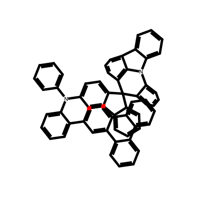 c1ccc(N(c2ccc3c(c2)-c2ccccc2C32c3ccccc3-n3c4ccccc4c4cccc2c43)c2ccccc2-c2ccc3c4ccccc4c4ccccc4c3c2)cc1